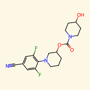 N#Cc1cc(F)c(N2CCCC(OC(=O)N3CCC(O)CC3)C2)c(F)c1